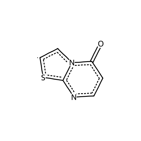 O=c1ccnc2s[c]cn12